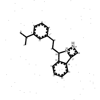 CC(C)c1cccc(CCC2c3ccccc3-c3c[nH]n32)c1